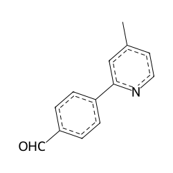 Cc1ccnc(-c2ccc(C=O)cc2)c1